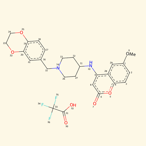 COc1ccc2oc(=O)cc(NC3CCN(Cc4ccc5c(c4)OCCO5)CC3)c2c1.O=C(O)C(F)(F)F